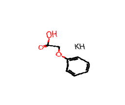 O=C(O)COc1ccccc1.[KH]